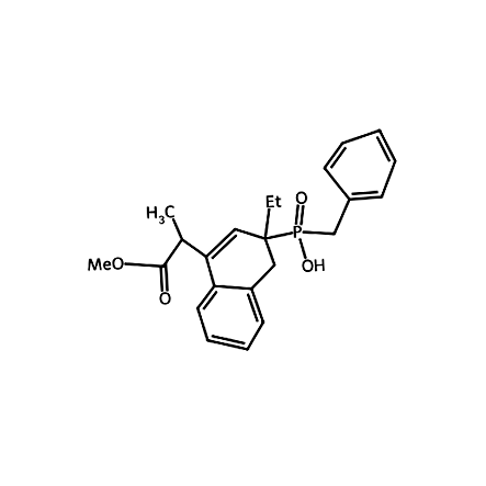 CCC1(P(=O)(O)Cc2ccccc2)C=C(C(C)C(=O)OC)c2ccccc2C1